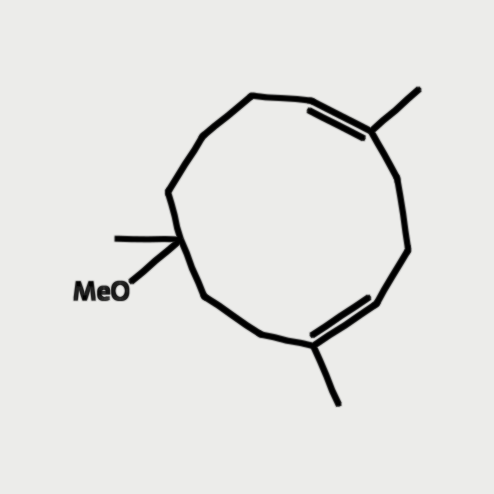 COC1(C)CCCC=C(C)CCC=C(C)CC1